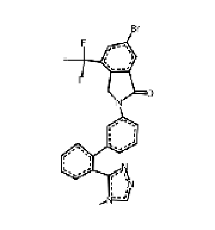 Cn1cnnc1-c1ccccc1-c1cccc(N2Cc3c(cc(Br)cc3C(F)(F)F)C2=O)c1